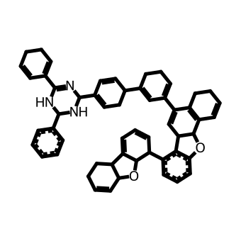 C1=CC(c2cccc3c2C2C=C(C4=CCCC(C5C=CC(C6N=C(C7=CCCC=C7)NC(c7ccccc7)N6)=CC5)=C4)C4=C(C=CCC4)C2O3)C2OC3C=CCCC3C2=C1